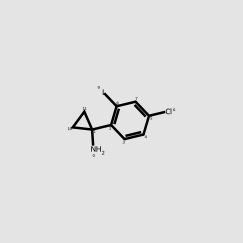 NC1(c2ccc(Cl)cc2I)CC1